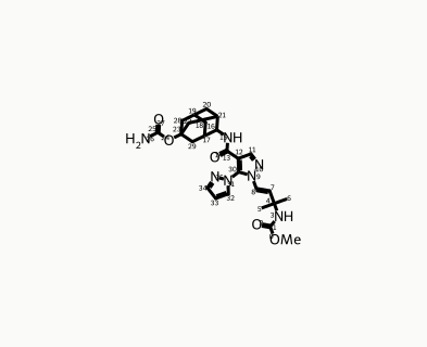 COC(=O)NC(C)(C)/C=C/n1ncc(C(=O)NC2C3CC4CC2CC(OC(N)=O)(C4)C3)c1-n1cccn1